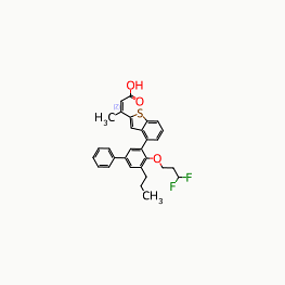 CCCc1cc(-c2ccccc2)cc(-c2cccc3sc(/C(C)=C\C(=O)O)cc23)c1OCCC(F)F